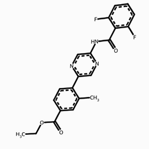 CCOC(=O)c1ccc(-c2cnc(NC(=O)c3c(F)cccc3F)cn2)c(C)c1